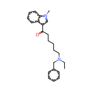 CCN(CCCCCC(=O)c1cn(C)c2ccccc12)Cc1ccccc1